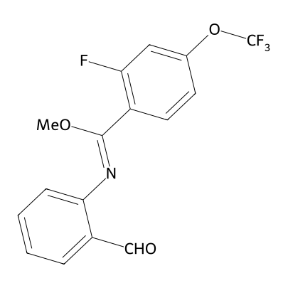 CO/C(=N\c1ccccc1C=O)c1ccc(OC(F)(F)F)cc1F